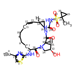 CC(C)(C)c1csc(N[C@H]2CCCCC/C=C\[C@@H]3C[C@@]3(C(=O)NS(=O)(=O)C3(C)CC3)NC(=O)[C@@H]3C[C@@H](O)CN3C2=O)n1